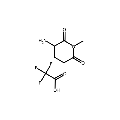 CN1C(=O)CCC(N)C1=O.O=C(O)C(F)(F)F